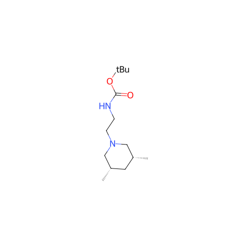 C[C@@H]1C[C@H](C)CN(CCNC(=O)OC(C)(C)C)C1